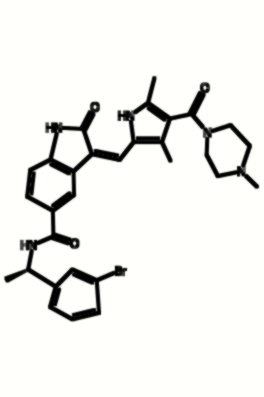 Cc1[nH]c(C=C2C(=O)Nc3ccc(C(=O)N[C@H](C)c4cccc(Br)c4)cc32)c(C)c1C(=O)N1CCN(C)CC1